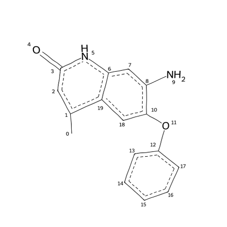 Cc1cc(=O)[nH]c2cc(N)c(Oc3ccccc3)cc12